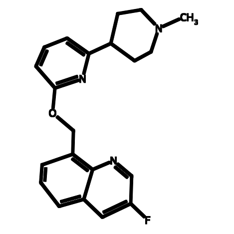 CN1CCC(c2cccc(OCc3cccc4cc(F)cnc34)n2)CC1